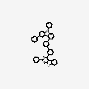 c1ccc(-c2ccc3c(c2)c2c(-c4cccc(-c5cccc(-c6nc(-c7ccccc7)nc7oc8ccccc8c67)c5)c4)cccc2n3-c2ccccc2)cc1